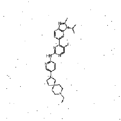 CCN1CCC2(CC1)CCN(c1ccc(Nc3ncc(F)c(-c4ccc5nc(C)n(C(C)C)c5c4)n3)nc1)C2